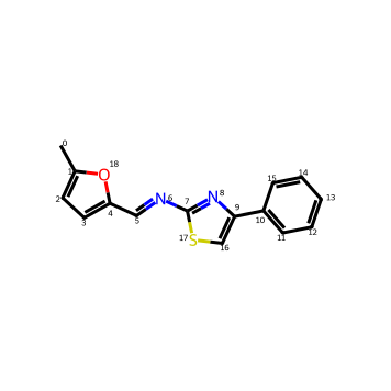 Cc1ccc(/C=N/c2nc(-c3ccccc3)cs2)o1